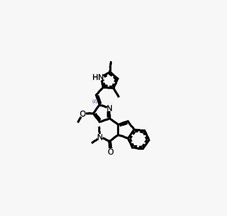 COC1=CC(C2=Cc3ccccc3C2C(=O)N(C)C)=N/C1=C\c1[nH]c(C)cc1C